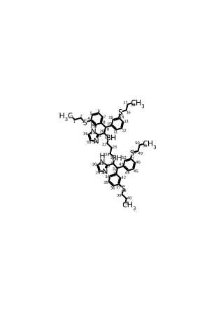 CCCSc1cccc(C(c2cccc(SCCC)c2)C(BCCCBC(c2ncc[nH]2)C(c2cccc(SCCC)c2)c2cccc(SCCC)c2)c2ncc[nH]2)c1